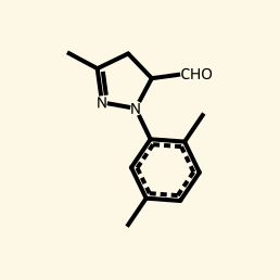 CC1=NN(c2cc(C)ccc2C)C(C=O)C1